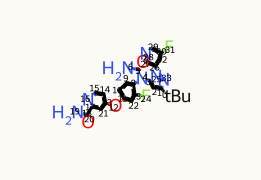 CC(C)(C)c1cc(N(C(N)=O)c2ccc(Oc3ccnc(C(N)=O)c3)cc2F)n(-c2cncc(F)c2)n1